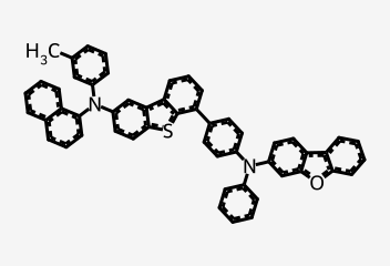 Cc1cccc(N(c2ccc3sc4c(-c5ccc(N(c6ccccc6)c6ccc7c(c6)oc6ccccc67)cc5)cccc4c3c2)c2cccc3ccccc23)c1